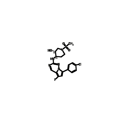 CS(=O)(=O)N1CC[C@@H](Nc2ncc3c(F)cc(-c4ccc(Cl)cc4)n3n2)[C@H](O)C1